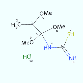 COC(C)C(NC(=N)S)(OC)OC.Cl